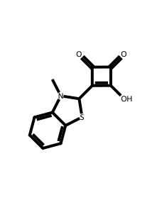 CN1c2ccccc2SC1c1c(O)c(=O)c1=O